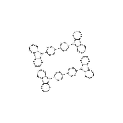 c1ccc2c(c1)c1ccccc1n2-c1ccc(-c2ccc(-n3c4ccccc4c4ccccc43)cc2)cc1.c1ccc2c(c1)c1ccccc1n2-c1ccc(-c2ccc(-n3c4ccccc4c4ccccc43)cc2)cc1